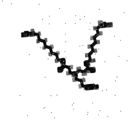 CCCCCCCCCCCCCCCCCCOC(=O)CCN(CCCOC)CCC(=O)OCCCCCCCCCCCCCCCCCC